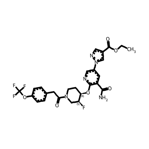 CCOC(=O)c1cnn(-c2cnc(O[C@@H]3CCN(C(=O)Cc4ccc(OC(F)(F)F)cc4)C[C@@H]3F)c(C(N)=O)c2)c1